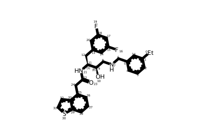 CCc1cccc(CNC[C@@H](O)[C@H](Cc2cc(F)cc(F)c2)NC(=O)Cc2cccc3sccc23)c1